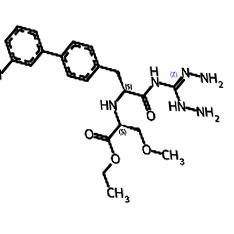 CCOC(=O)[C@H](COC)N[C@@H](Cc1ccc(-c2cccc(Cl)c2)cc1)C(=O)N/C(=N/N)NN